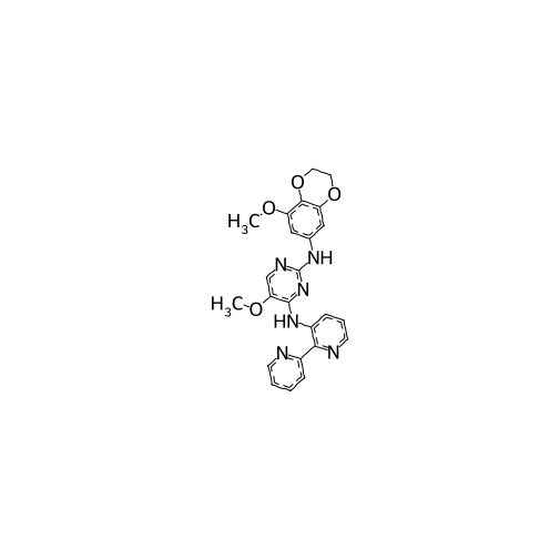 COc1cnc(Nc2cc(OC)c3c(c2)OCCO3)nc1Nc1cccnc1-c1ccccn1